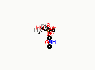 CCCCC(C)(O)CCSC(C(=O)Oc1ccc(NC(=O)c2ccccc2)cc1)(C(O)CC(=O)CC)C1CCCC1